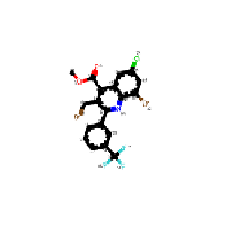 COC(=O)c1c(CBr)c(-c2cccc(C(F)(F)F)c2)nc2c(Br)cc(Cl)cc12